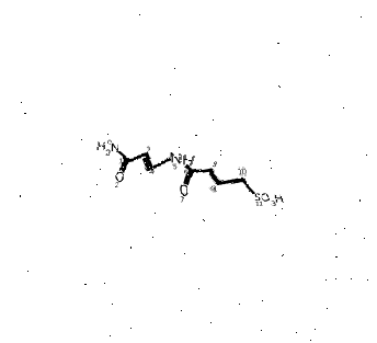 NC(=O)/C=C/NC(=O)CCCS(=O)(=O)O